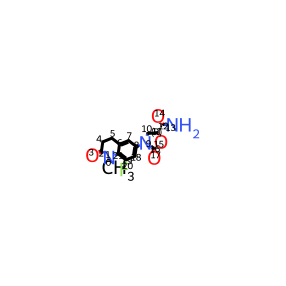 CN1C(=O)CCc2cc(N3C[C@H](C(N)=O)OC3=O)cc(F)c21